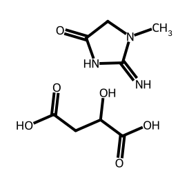 CN1CC(=O)NC1=N.O=C(O)CC(O)C(=O)O